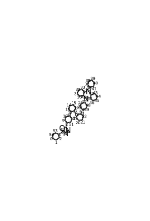 c1ccc(-c2nnc(-c3ccc(-c4ccccc4-c4ccccc4-c4ccc(N5c6ccccc6N(c6ccccc6)c6ccccc65)cc4)cc3)o2)cc1